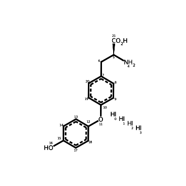 I.I.I.I.N[C@@H](Cc1ccc(Oc2ccc(O)cc2)cc1)C(=O)O